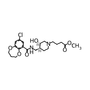 COC(=O)CCCN1CC[C@@H](CNC(=O)c2cc(Cl)cc3c2OCCCO3)[C@H](O)C1